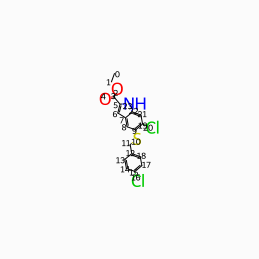 CCOC(=O)c1cc2cc(SCc3ccc(Cl)cc3)c(Cl)cc2[nH]1